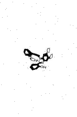 Oc1ccccc1C=Nc1cc(Cl)c(Cl)cc1N=Cc1ccccc1O